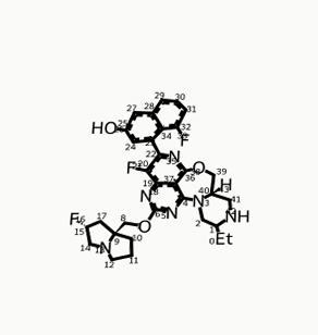 CCC1CN2c3nc(OC[C@@]45CCCN4C[C@H](F)C5)nc4c(F)c(-c5cc(O)cc6cccc(F)c56)nc(c34)OC[C@@H]2CN1